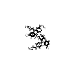 Nc1ncc(Sc2ccc(Cl)cc2)c(NCCO)n1.Nc1ncc(Sc2ccc(Cl)cc2)c(NN2CCN(CCO)CC2)n1